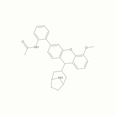 COc1cccc2c1Oc1cc(-c3ccccc3NC(C)=O)ccc1C2C1CC2CCC(C1)N2